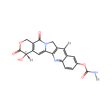 CCNC(=O)Oc1ccc2nc3c(c(CC)c2c1)Cn1c-3cc2c(c1=O)COC(=O)[C@]2(O)CC